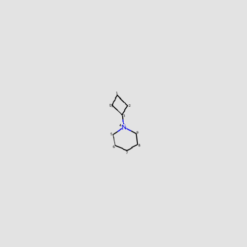 [CH]1CCC1N1CCCCC1